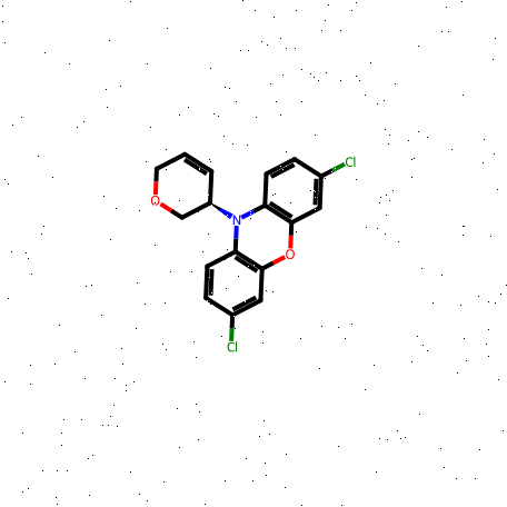 Clc1ccc2c(c1)Oc1cc(Cl)ccc1N2[C@@H]1C=CCOC1